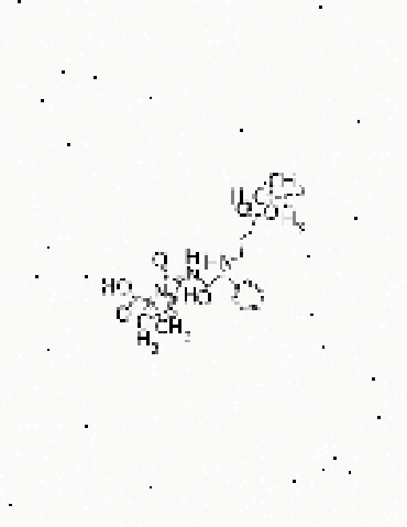 CC(C)(C)OC(=O)CCCNC(C(=O)N[C@@H]1C(=O)N2[C@@H]1SC(C)(C)[C@@H]2C(=O)O)c1ccccc1